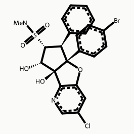 CNS(=O)(=O)[C@H]1[C@@H](O)[C@@]2(O)c3ncc(Cl)cc3O[C@@]2(c2ccc(Br)cc2)[C@@H]1c1ccccc1